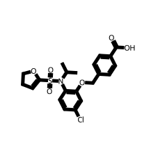 CC(C)N(c1ccc(Cl)cc1OCc1ccc(C(=O)O)cc1)S(=O)(=O)C1=CCCO1